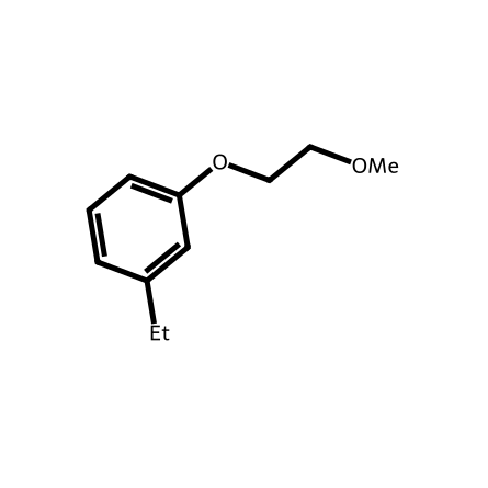 CCc1cccc(OCCOC)c1